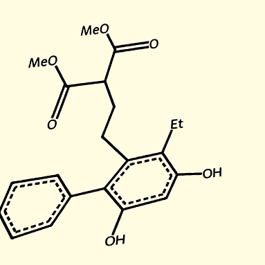 CCc1c(O)cc(O)c(-c2ccccc2)c1CCC(C(=O)OC)C(=O)OC